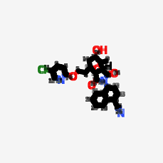 CC12OC(CCOc3ccc(Cl)cn3)(C[C@@H]1O)C1C(=O)N(c3ccc(C#N)c4ccccc34)C(=O)[C@H]12